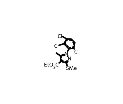 CCOC(=O)c1c(SC)nn(-c2c(Cl)ccc(Cl)c2Cl)c1C